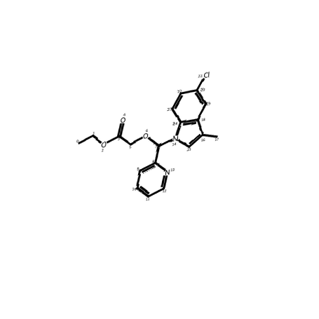 CCOC(=O)COC(c1ccccn1)n1cc(C)c2cc(Cl)ccc21